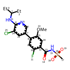 CCC(CC)Nc1ncc(-c2cc(F)c(C(=O)NS(C)(=O)=O)cc2OC)cc1Cl